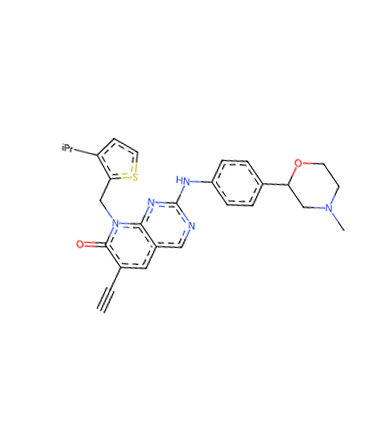 C#Cc1cc2cnc(Nc3ccc(C4CN(C)CCO4)cc3)nc2n(Cc2sccc2C(C)C)c1=O